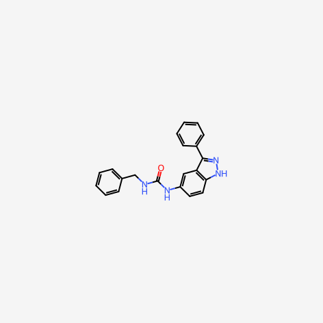 O=C(NCc1ccccc1)Nc1ccc2[nH]nc(-c3ccccc3)c2c1